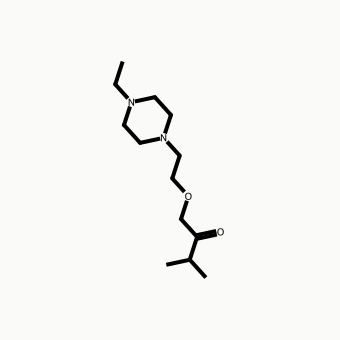 CCN1CCN(CCOCC(=O)C(C)C)CC1